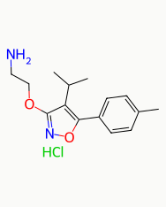 Cc1ccc(-c2onc(OCCN)c2C(C)C)cc1.Cl